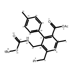 CC(=O)OC(=O)c1c(C)nc(CC(C)C)c(CNC(=O)OC(C)(C)C)c1-c1ccc(C)cc1